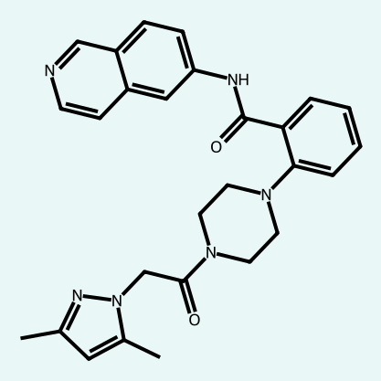 Cc1cc(C)n(CC(=O)N2CCN(c3ccccc3C(=O)Nc3ccc4cnccc4c3)CC2)n1